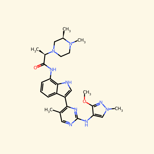 COc1nn(C)cc1Nc1ncc(C)c(-c2c[nH]c3c(NC(=O)[C@@H](C)N4CCN(C)[C@H](C)C4)cccc23)n1